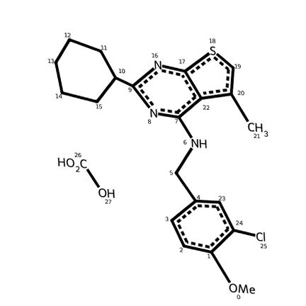 COc1ccc(CNc2nc(C3CCCCC3)nc3scc(C)c23)cc1Cl.O=C(O)O